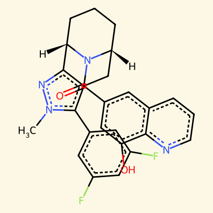 Cn1nc2c(c1-c1cc(F)cc(F)c1)C[C@H]1CCC[C@@H]2N1C(=O)c1cc(O)c2ncccc2c1